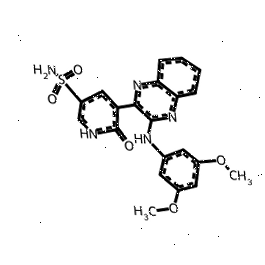 COc1cc(Nc2nc3ccccc3nc2-c2cc(S(N)(=O)=O)c[nH]c2=O)cc(OC)c1